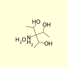 CC(O)C(N)(C(C)O)C(C)O.O